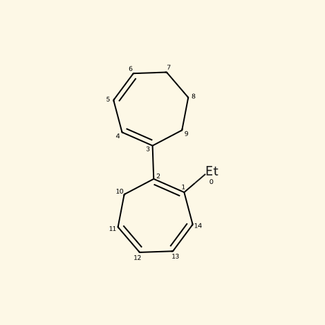 CCC1=C(C2=CC=CCCC2)CC=CC=C1